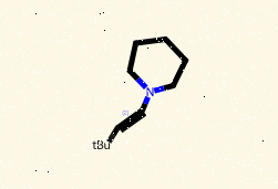 CC(C)(C)/C=C/N1CCCCC1